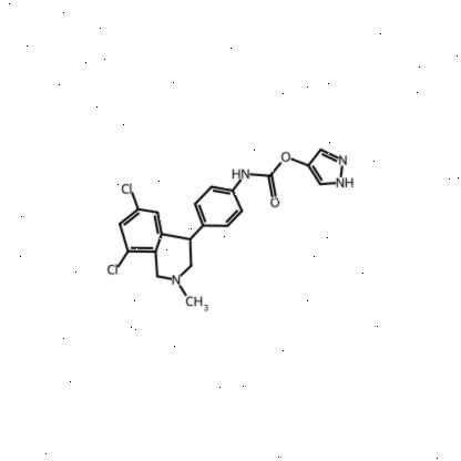 CN1Cc2c(Cl)cc(Cl)cc2C(c2ccc(NC(=O)Oc3cn[nH]c3)cc2)C1